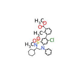 COC(=O)c1cccc(-c2cc3c(cc2Cl)N(c2ccccc2)C[C@@H](C2CCCCC2)N(C)S3(=O)=O)c1C